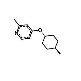 Cc1cc(O[C@H]2CC[C@H](C)CC2)ccn1